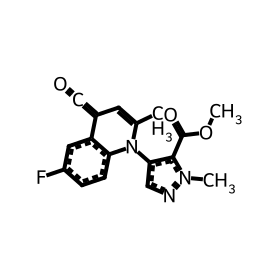 COC(=O)c1c(N2C(C)=CC(=C=O)c3cc(F)ccc32)cnn1C